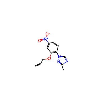 C=CCOc1cc([N+](=O)[O-])ccc1-n1cnc(C)n1